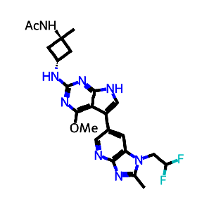 COc1nc(N[C@H]2C[C@](C)(NC(C)=O)C2)nc2[nH]cc(-c3cnc4nc(C)n(CC(F)F)c4c3)c12